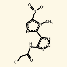 Cn1c([N+](=O)[O-])cnc1-c1snnc1NC(=O)CCl